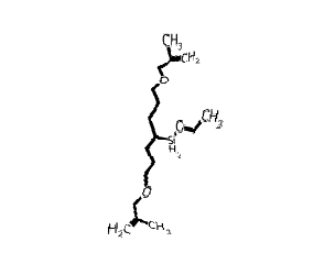 C=C(C)COCCCC(CCCOCC(=C)C)[SiH2]OCC